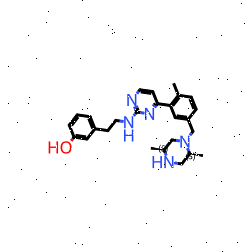 Cc1ccc(CN2C[C@H](C)NC[C@@H]2C)cc1-c1ccnc(NCCc2cccc(O)c2)n1